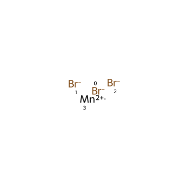 [Br-].[Br-].[Br-].[Mn+2]